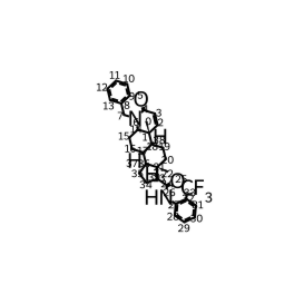 C[C@]12C=CC(=O)N(Cc3ccccc3)C1CC[C@@H]1[C@H]2CC[C@]2(C)C(C(=O)Nc3ccccc3C(F)(F)F)CC[C@@H]12